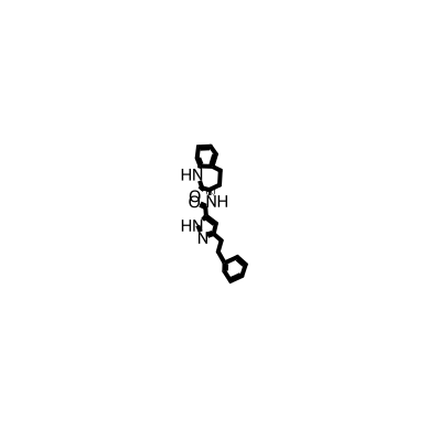 O=C(N[C@@H]1CCc2ccccc2NC1=O)c1cc(CCc2ccccc2)n[nH]1